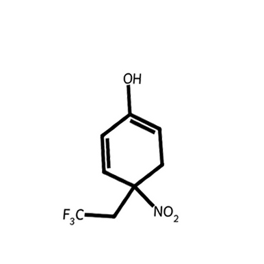 O=[N+]([O-])C1(CC(F)(F)F)C=CC(O)=CC1